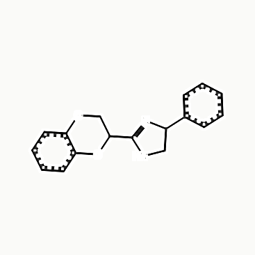 c1ccc(C2CNC(C3COc4ccccc4O3)=N2)cc1